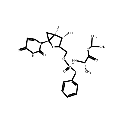 CC(C)OC(=O)[C@H](C)N[P@](=O)(OCC1O[C@]2(n3ccc(=O)[nH]c3=O)C[C@@]2(F)[C@@H]1O)Oc1ccccc1